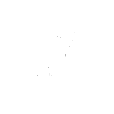 COc1ccccc1N1CCN(C(=O)CCN[C@H](C(=O)C#N)N2CCCC2)CC1